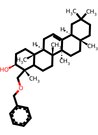 CC1(C)CC[C@]2(C)CC[C@]3(C)C(=CC[C@@H]4[C@@]5(C)CC[C@H](O)[C@@](C)(COCc6ccccc6)C5CC[C@]43C)[C@H]2C1